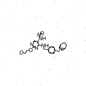 COCCOc1ncc(NN=O)c(NCc2ccc(CN3C4CCC3CC4)cc2)n1